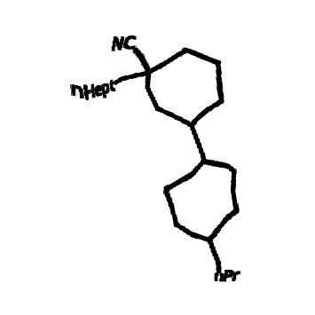 CCCCCCCC1(C#N)CCCC(C2CCC(CCC)CC2)C1